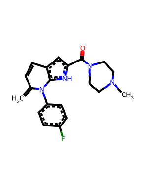 C=C1C=Cc2cc(C(=O)N3CCN(C)CC3)[nH]c2N1c1ccc(F)cc1